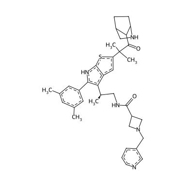 Cc1cc(C)cc(-c2[nH]c3sc(C(C)(C)C(=O)C4C5CCC4NC5)cc3c2[C@H](C)CNC(=O)C2CN(Cc3cccnc3)C2)c1